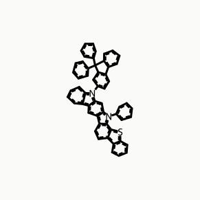 c1ccc(-n2c3cc4c(cc3c3ccc5c6ccccc6sc5c32)c2ccccc2n4-c2ccc3c(c2)C(c2ccccc2)(c2ccccc2)c2ccccc2-3)cc1